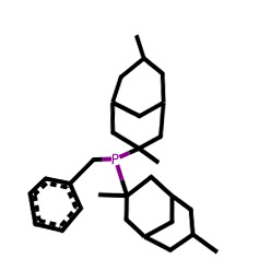 CC1CC2CC(C1)CC(C)(P(Cc1ccccc1)C1(C)CC3CC(C)CC(C3)C1)C2